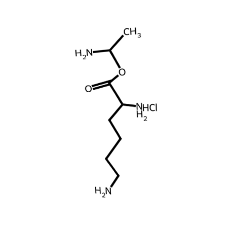 CC(N)OC(=O)C(N)CCCCN.Cl